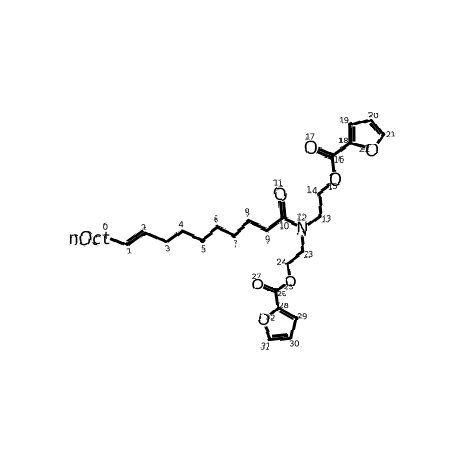 CCCCCCCCC=CCCCCCCCC(=O)N(CCOC(=O)c1ccco1)CCOC(=O)c1ccco1